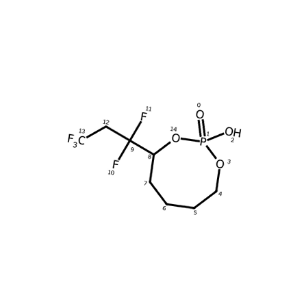 O=P1(O)OCCCCC(C(F)(F)CC(F)(F)F)O1